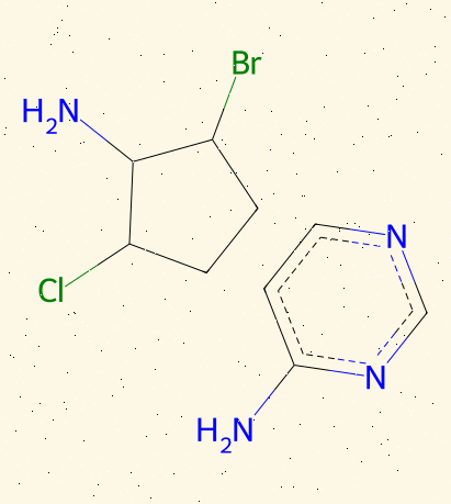 NC1C(Cl)CCC1Br.Nc1ccncn1